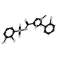 Cn1cc(C(=O)NS(=O)(=O)c2cccc(Cl)c2Cl)nc1-c1ccccc1Cl